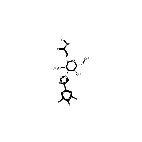 CCNC(=O)CS[C@@H]1O[C@H](CO)[C@H](O)[C@H](n2cc(-c3cc(F)c(F)c(F)c3)nn2)[C@H]1OC